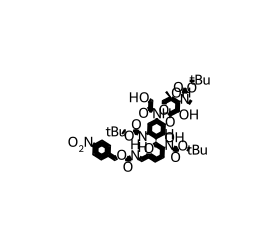 CN(C(=O)OC(C)(C)C)[C@@H]1[C@@H](O)[C@@H](O[C@H]2[C@H](NC(=O)CO)C[C@H](NC(=O)OC(C)(C)C)C([C@H]3OC(CNC(=O)OCc4ccc([N+](=O)[O-])cc4)=CC[C@H]3NC(=O)OC(C)(C)C)[C@@H]2O)OC[C@]1(C)O